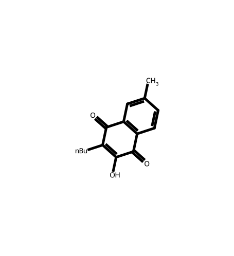 CCCCC1=C(O)C(=O)c2ccc(C)cc2C1=O